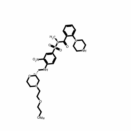 COCCOCCN1CCO[C@H](CNc2ccc(S(=O)(=O)N(C)C(=O)c3ccccc3N3CCNCC3)cc2[N+](=O)[O-])C1